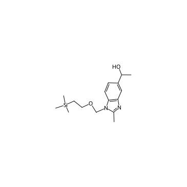 Cc1nc2cc(C(C)O)ccc2n1COCC[Si](C)(C)C